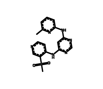 Cc1cccc(Nc2cc(Nc3ccncc3S(C)(=O)=O)ncn2)n1